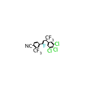 N#Cc1ccc(/C(F)=C/C(c2cc(Cl)c(Cl)c(Cl)c2)C(F)(F)F)cc1C(F)(F)F